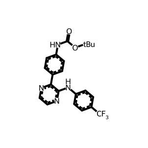 CC(C)(C)OC(=O)Nc1ccc(-c2nccnc2Nc2ccc(C(F)(F)F)cc2)cc1